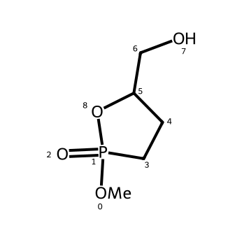 COP1(=O)CCC(CO)O1